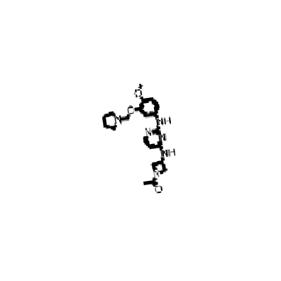 COc1ccc(Nc2nccc(NC3CN(C(C)=O)C3)n2)cc1OCN1CCCC1